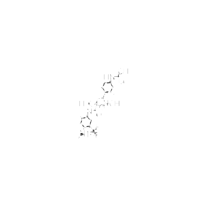 [C-]#[N+]c1ccc(NC(=O)C2(C)CC(c3ccc(NC(C)=O)cc3)N(C)O2)cc1C(F)(F)F